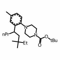 CCCC(CC(C)(C)CC)c1cc(C)ccc1N1CCN(C(=O)OC(C)(C)C)CC1